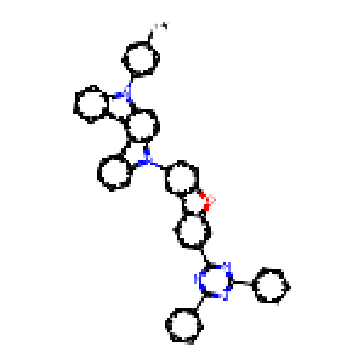 CCCc1ccc(-n2c3ccccc3c3c4c5ccccc5n(-c5ccc6oc7cc(-c8nc(-c9ccccc9)nc(-c9ccccc9)n8)ccc7c6c5)c4ccc32)cc1